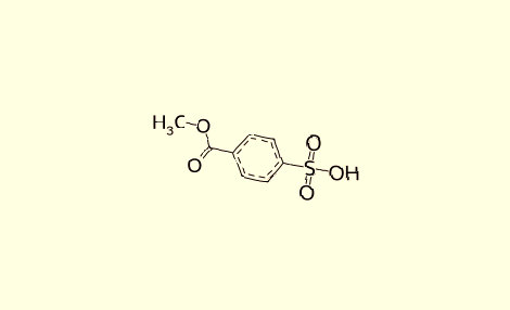 COC(=O)c1ccc(S(=O)(=O)O)cc1